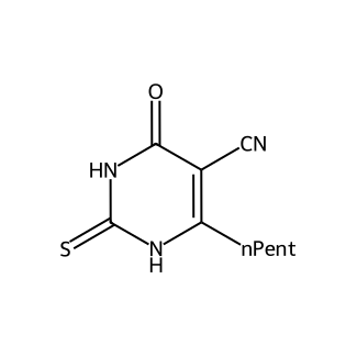 CCCCCc1[nH]c(=S)[nH]c(=O)c1C#N